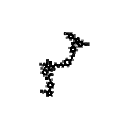 Cc1ncsc1-c1ccc(CNC(=O)[C@@H]2CCCN2C(=O)[C@@H](NC(=O)COCCN2CCN(CCOc3ccc(Oc4c(-c5ccc(Cl)cc5)sc5cc(O)ccc45)cc3)CC2)C(C)(C)C)cc1